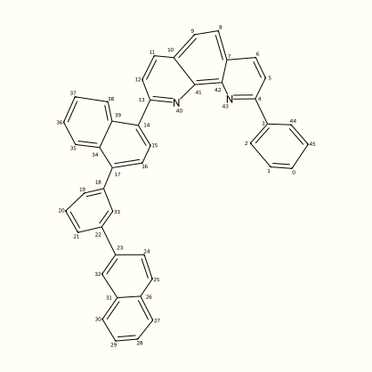 c1ccc(-c2ccc3ccc4ccc(-c5ccc(-c6cccc(-c7ccc8ccccc8c7)c6)c6ccccc56)nc4c3n2)cc1